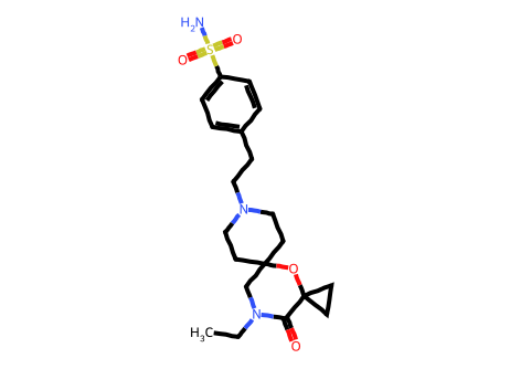 CCN1CC2(CCN(CCc3ccc(S(N)(=O)=O)cc3)CC2)OC2(CC2)C1=O